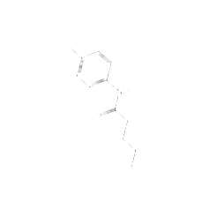 [CH2]c1ccc(NC(=O)CCCC)cc1